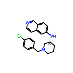 Clc1ccc(CN2CCC[C@@H](Nc3ccc4cnccc4c3)C2)cc1